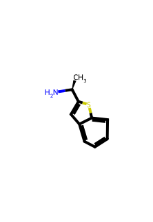 C[C@H](N)c1cc2ccccc2s1